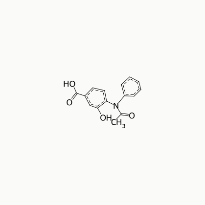 CC(=O)N(c1ccccc1)c1ccc(C(=O)O)cc1O